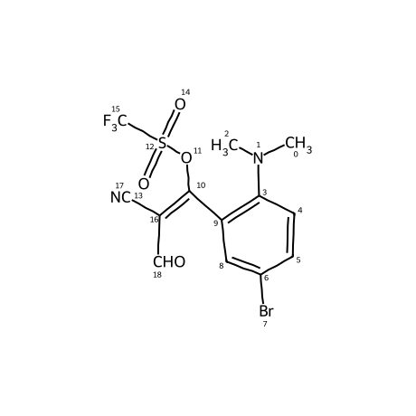 CN(C)c1ccc(Br)cc1/C(OS(=O)(=O)C(F)(F)F)=C(/C#N)C=O